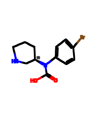 O=C(O)N(c1ccc(Br)cc1)[C@@H]1CCCNC1